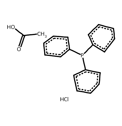 CC(=O)O.Cl.c1ccc(P(c2ccccc2)c2ccccc2)cc1